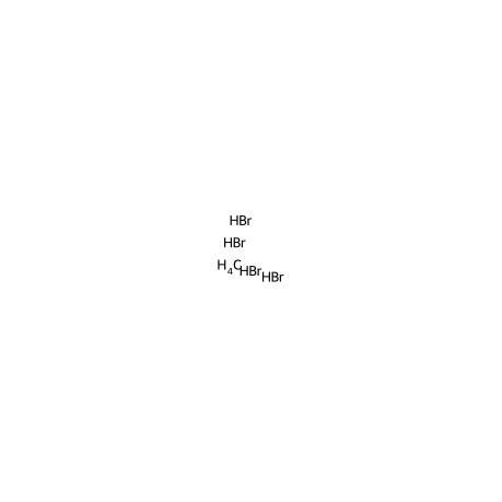 Br.Br.Br.Br.C